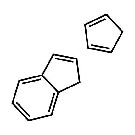 C1=CCC=C1.C1=Cc2ccccc2C1